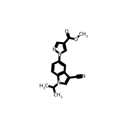 COC(=O)c1cnn(-c2ccc3c(c2)c(C#N)cn3C(C)C)c1